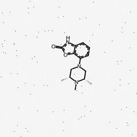 C[C@@H]1CN(c2cccc3[nH]c(=O)oc23)C[C@H](C)N1C